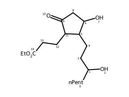 CCCCCC(O)CCC1C(O)CC(=O)C1CCC(=O)OCC